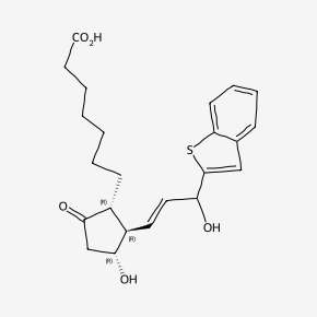 O=C(O)CCCCCC[C@H]1C(=O)C[C@@H](O)[C@@H]1C=CC(O)c1cc2ccccc2s1